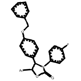 CC(=O)C1OC(=O)N(c2ccc(F)cc2)C1c1ccc(OCc2ccccc2)cc1